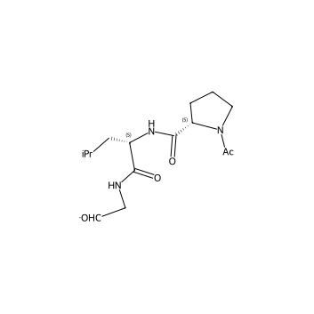 CC(=O)N1CCC[C@H]1C(=O)N[C@@H](CC(C)C)C(=O)NC[C]=O